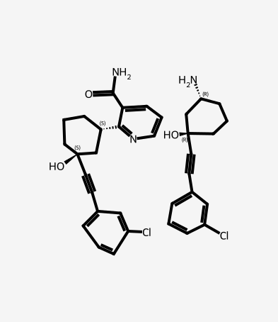 NC(=O)c1cccnc1[C@H]1CCC[C@@](O)(C#Cc2cccc(Cl)c2)C1.N[C@@H]1CCC[C@](O)(C#Cc2cccc(Cl)c2)C1